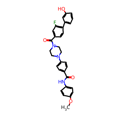 COc1ccc(NC(=O)c2ccc(N3CCN(C(=O)c4ccc(-c5cccc(O)c5)c(F)c4)CC3)cc2)cc1